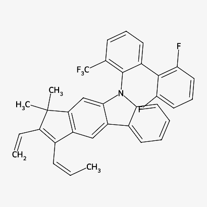 C=CC1=C(/C=C\C)c2cc3c4ccccc4n(-c4c(-c5c(F)cccc5F)cccc4C(F)(F)F)c3cc2C1(C)C